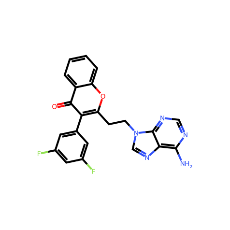 Nc1ncnc2c1ncn2CCc1oc2ccccc2c(=O)c1-c1cc(F)cc(F)c1